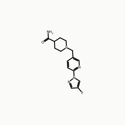 NC(=O)C1CCN(Cc2ccc(-n3cc(F)cn3)nc2)CC1